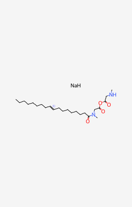 CCCCCCCC/C=C/CCCCCCCC(=O)N(C)CC(=O)OC(=O)CNC.[NaH]